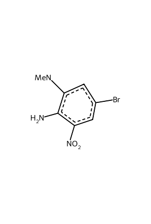 CNc1cc(Br)cc([N+](=O)[O-])c1N